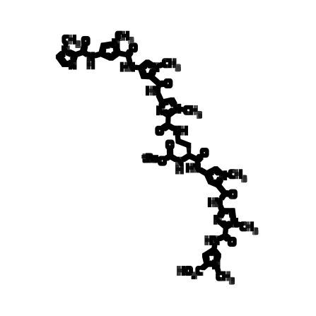 Cn1cc(NC(=O)c2nc(NC(=O)c3cc(NC(=O)[C@H](CCNC(=O)c4nc(NC(=O)c5cc(NC(=O)c6cc(NC(=O)c7nccn7C)cn6C)cn5C)cn4C)NC(=O)OC(C)(C)C)cn3C)cn2C)cc1C(=O)O